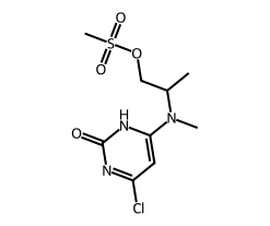 CC(COS(C)(=O)=O)N(C)c1cc(Cl)nc(=O)[nH]1